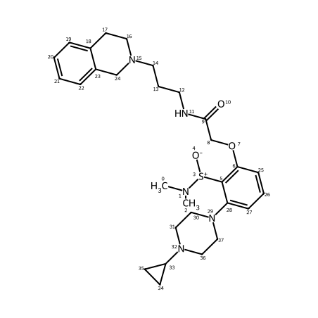 CN(C)[S+]([O-])c1c(OCC(=O)NCCCN2CCc3ccccc3C2)cccc1N1CCN(C2CC2)CC1